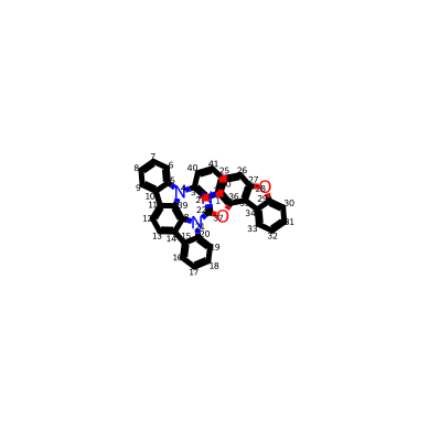 c1ccc(-n2c3ccccc3c3ccc4c5ccccc5n(-c5nc6ccc7oc8ccccc8c7c6o5)c4c32)cc1